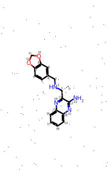 C[C@@H](NCc1ccc2c(c1)OCO2)c1nc2ccccc2nc1N